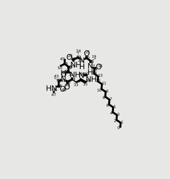 CCCCCCCCCCCCCCCC(=O)N[C@@H](C)C(=O)N[C@@H](C)C(=O)N[C@H](C(=O)N[C@@H](Cc1c[nH]cn1)C(=O)N[C@@H](C)C(=O)NC)C(C)C